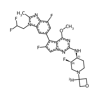 [2H]C1(N2CC[C@H](Nc3nc(OC)c4c(-c5cc(F)c6nc(C)n(CC(F)F)c6c5)c(F)cn4n3)[C@H](F)C2)COC1